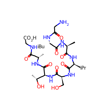 CC[C@H](C)[C@H](NC(=O)CN)C(=O)N[C@@H](C)C(=O)N[C@H](C(=O)N[C@@H](CO)C(=O)N[C@H](C(=O)N[C@@H](C)C(=O)NCC(=O)O)[C@@H](C)O)C(C)C